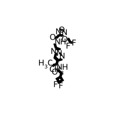 CC(C)C(NC(=O)CC1CC(F)(F)C1)c1cnn2cc(CNC(=O)c3nonc3OCC(F)F)nc2c1